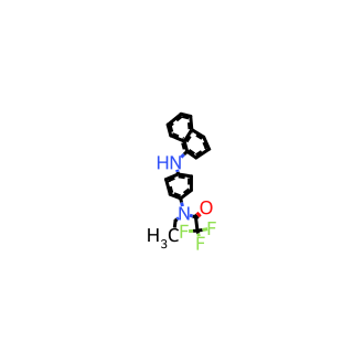 CCN(C(=O)C(F)(F)F)c1ccc(Nc2cccc3ccccc23)cc1